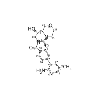 Cc1cnc(N)c(-c2ccc(C(=O)N(CCO)C(=O)N3CCOCC3)cc2)c1